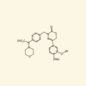 CCOC(=O)N(c1ccc(CN2N=C(c3ccc(OC)c(OC(C)C)c3)CSC2=O)cc1)N1CCSCC1